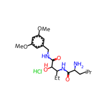 CCC(NC(=O)[C@@H](N)CC(C)C)C(O)C(=O)NCc1cc(OC)cc(OC)c1.Cl